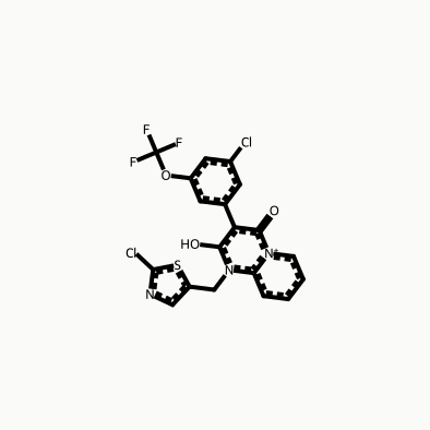 O=c1c(-c2cc(Cl)cc(OC(F)(F)F)c2)c(O)n(Cc2cnc(Cl)s2)c2cccc[n+]12